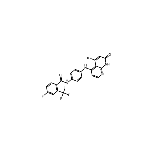 O=C(Nc1ccc(Nc2ccnc3[nH]c(=O)cc(O)c23)cc1)c1ccc(F)cc1C(F)(F)F